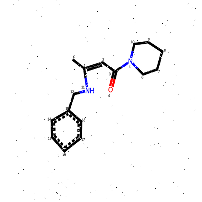 CC(=CC(=O)N1CCCCC1)NCc1ccccc1